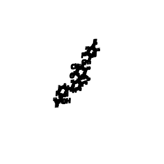 Cc1cnc(-c2ccnc(C3(O)CC3)n2)cc1-n1c(C)cc(OCc2ncc(F)cc2F)c(Cl)c1=O